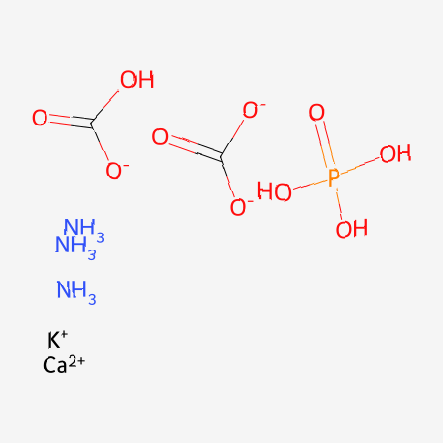 N.N.N.O=C([O-])O.O=C([O-])[O-].O=P(O)(O)O.[Ca+2].[K+]